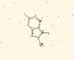 Cc1cnc2c(c1)nc(C(F)(F)F)n2C